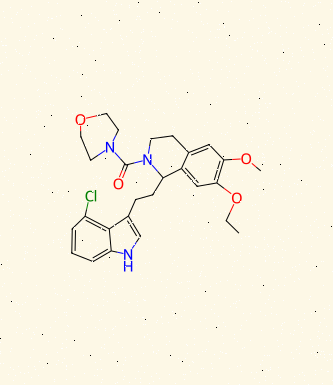 CCOc1cc2c(cc1OC)CCN(C(=O)N1CCOCC1)C2CCc1c[nH]c2cccc(Cl)c12